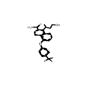 CC(CCO)c1c(C(N)=O)ccc2c(Oc3ccc(C(F)(F)F)cc3)cccc12